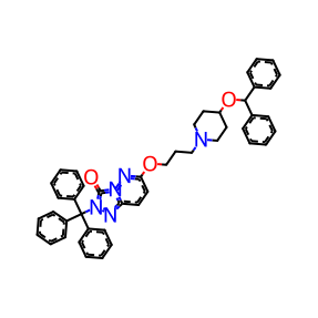 O=c1n(C(c2ccccc2)(c2ccccc2)c2ccccc2)nc2ccc(OCCCN3CCC(OC(c4ccccc4)c4ccccc4)CC3)nn12